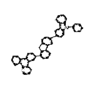 c1ccc(-n2c3ccccc3c3cc(-c4ccc5c(c4)-c4cccc(-c6ccc7c8ccccc8c8ccccc8c7c6)c4C5)ccc32)cc1